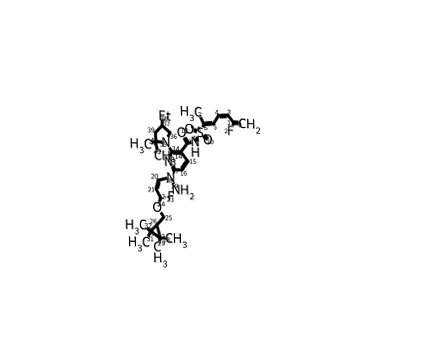 C=C(F)/C=C\C=C(/C)S(=O)(=O)NC(=O)c1ccc(N(N)/C=C\[C@H](F)OCC2C(C)(C)C2(C)C)nc1N1CC(CC)CC1(C)C